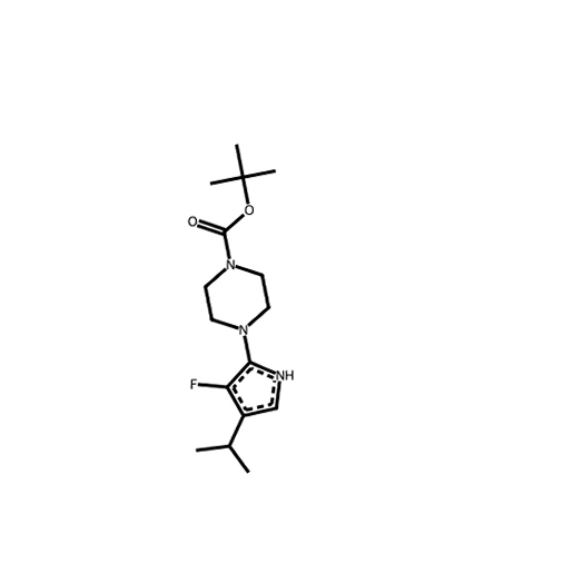 CC(C)c1c[nH]c(N2CCN(C(=O)OC(C)(C)C)CC2)c1F